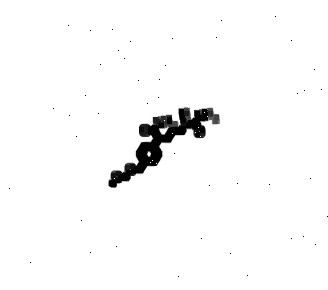 COCOCc1ccc(C(CCCNC(N)=O)C(N)=O)cc1